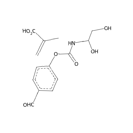 C=C(C)C(=O)O.O=Cc1ccc(OC(=O)NC(O)CO)cc1